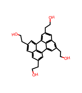 OCCc1cc2cc(CCO)cc3c4cc(CCO)cc5cc(CCO)cc(c(c1)c23)c54